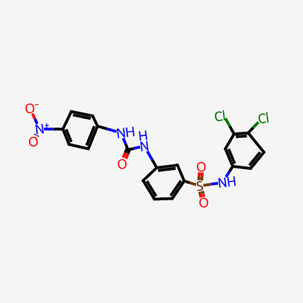 O=C(Nc1ccc([N+](=O)[O-])cc1)Nc1cccc(S(=O)(=O)Nc2ccc(Cl)c(Cl)c2)c1